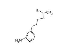 CC(Br)CCCCc1cccc(N)c1